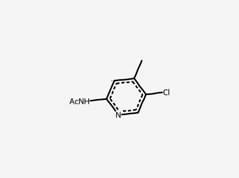 CC(=O)Nc1[c]c(C)c(Cl)cn1